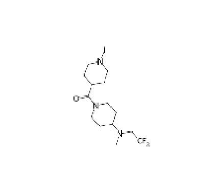 CN(CC(F)(F)F)C1CCN(C(=O)C2CCN(I)CC2)CC1